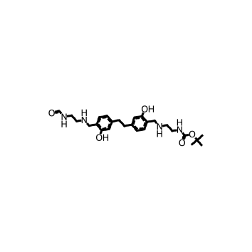 CC(C)(C)OC(=O)NCCNCc1ccc(CCc2ccc(CNCCNC=O)c(O)c2)cc1O